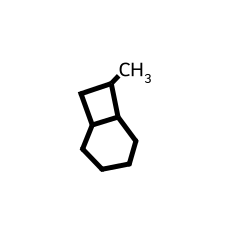 CC1CC2CCCCC12